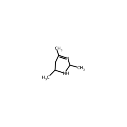 CC1=NC(C)NC(C)C1